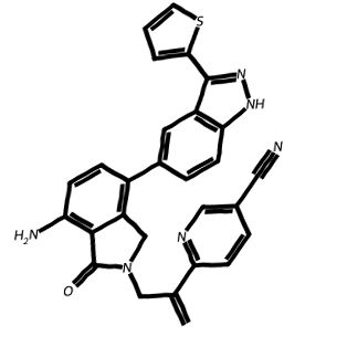 C=C(CN1Cc2c(-c3ccc4[nH]nc(-c5cccs5)c4c3)ccc(N)c2C1=O)c1ccc(C#N)cn1